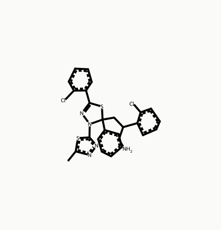 Cc1nnc(N2N=C(c3ccccc3Cl)SC2(CC(CN)c2ccccc2Cl)c2ccccc2)s1